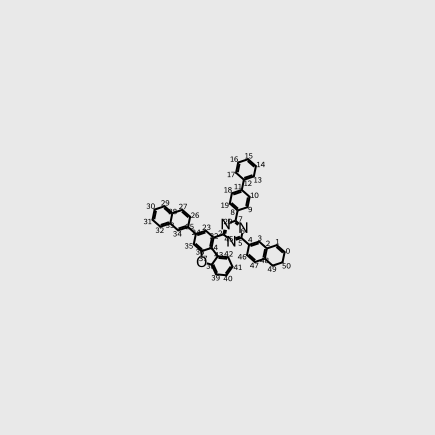 C1=Cc2cc(-c3nc(-c4ccc(-c5ccccc5)cc4)nc(-c4cc(-c5ccc6ccccc6c5)cc5oc6ccccc6c45)n3)ccc2CC1